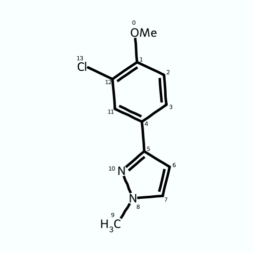 COc1ccc(-c2ccn(C)n2)cc1Cl